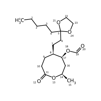 CCCCCC1(CC[C@@H]2CCC(=O)O[C@H](C)C[C@@H]2OC=O)OCCO1